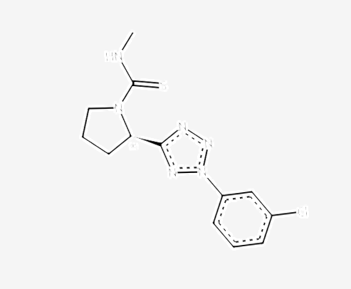 CNC(=S)N1CCC[C@@H]1c1nnn(-c2cccc(Cl)c2)n1